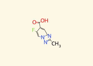 Cc1nc2cc(C(=O)O)c(F)cn2n1